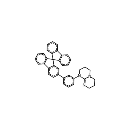 c1cc(-c2ccc3c(c2)C2(c4ccccc4-c4ccccc42)c2ccccc2-3)cc(N2CCCN3CCCN=C32)c1